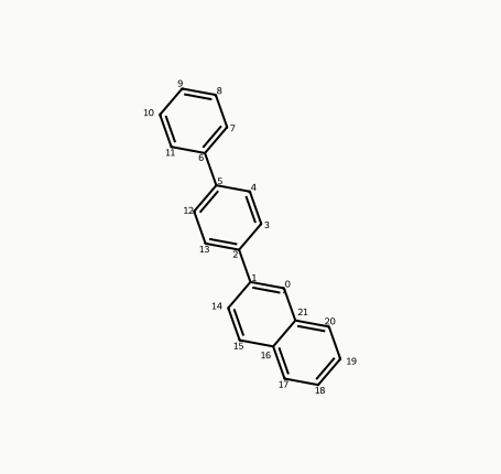 [c]1c(-c2ccc(-c3ccccc3)cc2)ccc2ccccc12